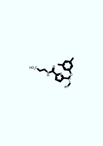 Cc1cc(C)cc(O[C@H](CC(C)C)c2ccc(C(=O)NCCC(=O)O)s2)c1